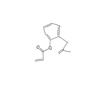 C=CC(=O)Oc1ccccc1CC(=C)C